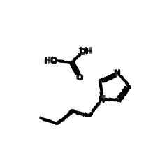 CCCCn1ccnc1.O=C(O)O